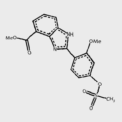 COC(=O)c1cccc2[nH]c(-c3ccc(OS(C)(=O)=O)cc3OC)nc12